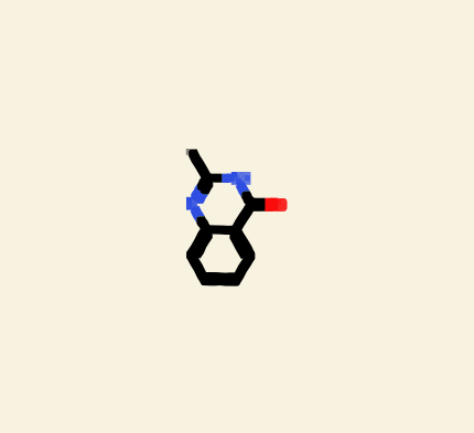 [CH2]c1nc2ccccc2c(=O)[nH]1